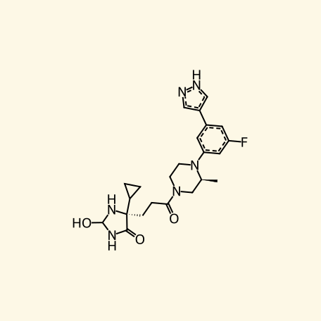 C[C@H]1CN(C(=O)CC[C@@]2(C3CC3)NC(O)NC2=O)CCN1c1cc(F)cc(-c2cn[nH]c2)c1